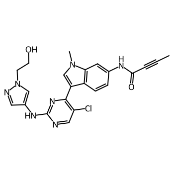 CC#CC(=O)Nc1ccc2c(-c3nc(Nc4cnn(CCO)c4)ncc3Cl)cn(C)c2c1